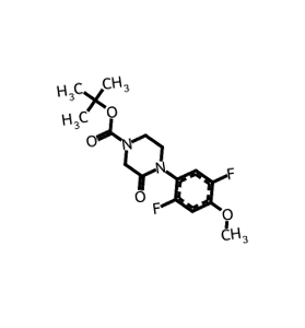 COc1cc(F)c(N2CCN(C(=O)OC(C)(C)C)CC2=O)cc1F